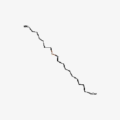 CCCCCCCCCCCCCCCCCCC[CH]SCCCCCCCCCCCCCCCC